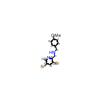 COc1ccc(CNCc2nc(F)c(Br)cc2Br)cc1